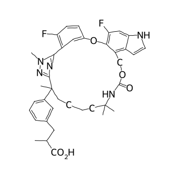 CC(Cc1cccc(C2(C)CCCCC(C)(C)NC(=O)OCc3c(c(F)cc4[nH]ccc34)Oc3ccc(F)c(c3)-c3nc2nn3C)c1)C(=O)O